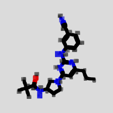 CCCc1cc(N2CCC(NC(=O)C(C)(C)C)C2)nc(Nc2cccc(C#N)c2)n1